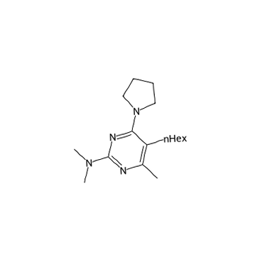 CCCCCCc1c(C)nc(N(C)C)nc1N1CCCC1